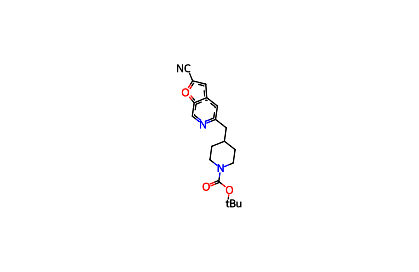 CC(C)(C)OC(=O)N1CCC(Cc2cc3cc(C#N)oc3cn2)CC1